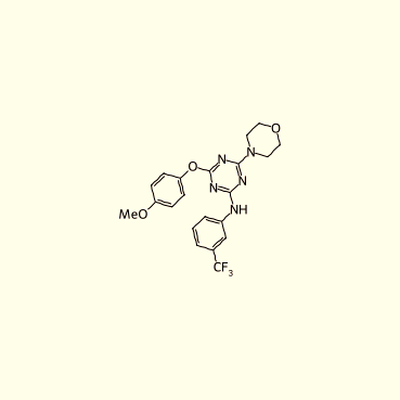 COc1ccc(Oc2nc(Nc3cccc(C(F)(F)F)c3)nc(N3CCOCC3)n2)cc1